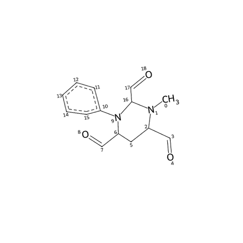 CN1C(C=O)CC(C=O)N(c2ccccc2)C1C=O